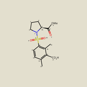 COC(=O)[C@@H]1CCCN1S(=O)(=O)c1ccc(C)c(C(=O)O)c1C